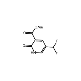 COC(=O)c1cc(C(F)F)c[nH]c1=O